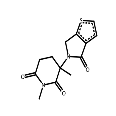 CN1C(=O)CCC(C)(N2Cc3sccc3C2=O)C1=O